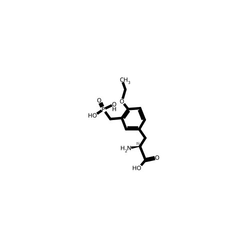 CCOc1ccc(C[C@H](N)C(=O)O)cc1CP(=O)(O)O